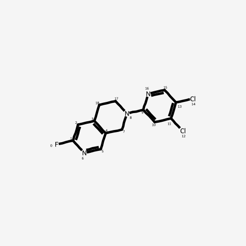 Fc1cc2c(cn1)CN(c1cc(Cl)c(Cl)cn1)CC2